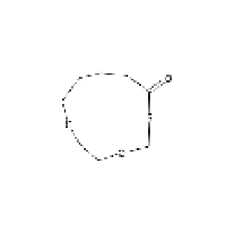 O=C1CCCCCCCCCS1